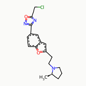 C[C@@H]1CCCN1CCc1cc2cc(-c3noc(CCl)n3)ccc2o1